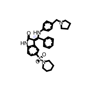 O=C1Nc2ccc(S(=O)(=O)N3CCCCC3)cc2/C1=C(/Nc1ccc(CN2CCCC2)cc1)c1ccccc1